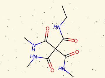 CCNC(=O)C(C(=O)NC)(C(=O)NC)C(=O)NC